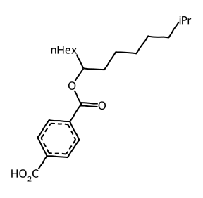 CCCCCCC(CCCCCC(C)C)OC(=O)c1ccc(C(=O)O)cc1